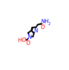 NC(=O)CC1C=C2CN(C(=O)O)CC2=N1